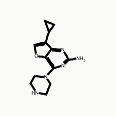 Nc1nc(N2CCNCC2)c2occ(C3CC3)c2n1